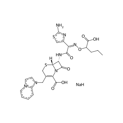 CCCC(O/N=C(\C(=O)N[C@@H]1C(=O)N2C(C(=O)O)=C(Cn3cc[n+]4ccccc34)CS[C@H]12)c1csc(N)n1)C(=O)O.[NaH]